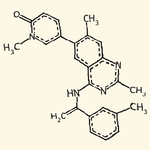 C=C(Nc1nc(C)nc2cc(C)c(-c3ccc(=O)n(C)c3)cc12)c1cccc(C)c1